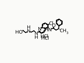 C[C@H](CC(=O)Nc1c(Cl)ccc2nc(NCCNCCO)ccc12)c1ccccc1.Cl.Cl